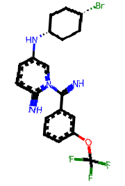 N=C(c1cccc(OC(F)(F)F)c1)n1cc(N[C@H]2CC[C@@H](Br)CC2)ccc1=N